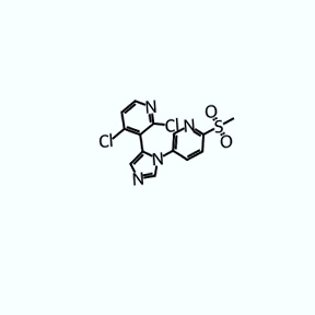 CS(=O)(=O)c1ccc(-n2cncc2-c2c(Cl)ccnc2Cl)cn1